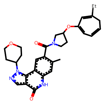 CCC1=CC(OC2CCN(C(=O)c3cc4c(cc3C)[nH]c(=O)c3cnn(C5CCOCC5)c34)C2)=CC=CC1